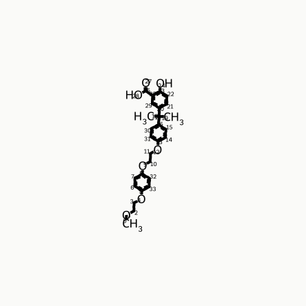 COCCOc1ccc(OCCOc2ccc(C(C)(C)c3ccc(O)c(C(=O)O)c3)cc2)cc1